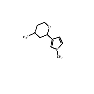 CN1CCOC(c2ccn(C)n2)C1